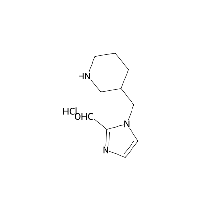 Cl.O=Cc1nccn1CC1CCCNC1